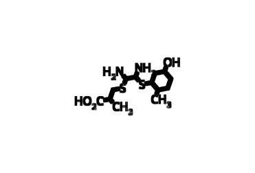 CC(CSC(N)C(N)SC1CC(O)CCC1C)C(=O)O